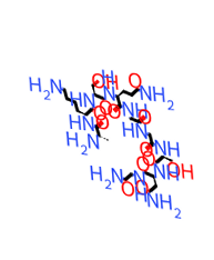 C[C@H](N)C(=O)N[C@@H](CCCCN)C(=O)N[C@@H](CO)C(=O)N[C@@H](CCC(N)=O)C(=O)NCC(=O)NCC(=O)N[C@@H](CO)C(=O)N[C@@H](CC(N)=O)C(=O)NCC(N)=O